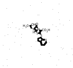 C[C@H](O)C[C@@H]1C(=O)N2C(C(=O)O)=C(SC3CCc4cccnc43)S[C@H]12